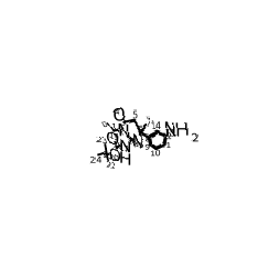 CCN1C(=O)CC(C)(c2cccc(N)c2)N=C1NC(=O)OC(C)(C)C